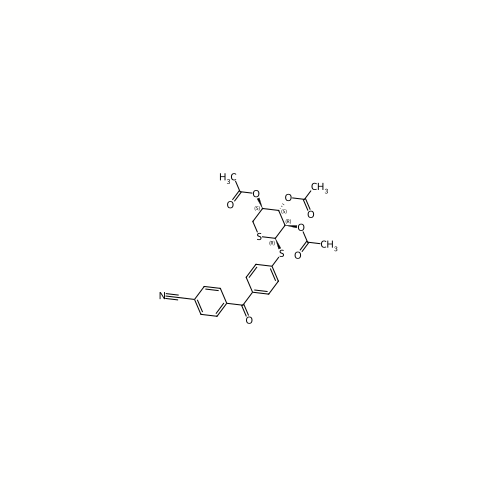 CC(=O)O[C@@H]1[C@@H](OC(C)=O)[C@@H](Sc2ccc(C(=O)c3ccc(C#N)cc3)cc2)SC[C@H]1OC(C)=O